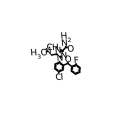 CN(C)Cc1nc(C(N)=O)nn1-c1ccc(Cl)cc1C(=O)c1ccccc1F